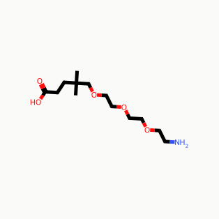 CC(C)(CCC(=O)O)COCCOCCOCCN